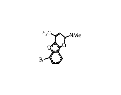 CNC1C=C(C(F)(F)F)c2oc3c(Br)cccc3c2O1